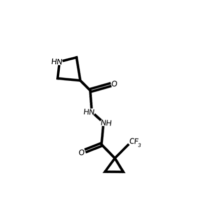 O=C(NNC(=O)C1(C(F)(F)F)CC1)C1CNC1